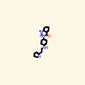 CN(C)c1ccccc1C(=O)Nc1ccc(NCCc2ccccn2)cc1